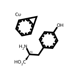 N[C@@H](Cc1ccc(O)cc1)C(=O)O.[Cu].c1ccc2c(c1)C2